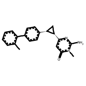 Cc1ccccc1-c1ccc([C@@H]2C[C@@H]2c2cc(=O)n(C)c(N)n2)cc1